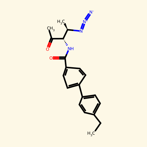 CCc1ccc(-c2ccc(C(=O)N[C@H](C(C)=O)[C@@H](C)N=[N+]=[N-])cc2)cc1